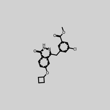 COC(=O)c1cc(Cl)cc(Cc2n[nH]c(=O)c3ccc(OC4CCC4)cc23)c1